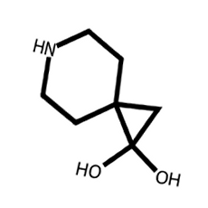 OC1(O)CC12CCNCC2